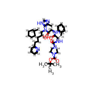 CC(C)(C)OC(=O)N1CCN(C(=O)N[C@@H](Cc2ccccc2)C(=O)N[C@@H](Cc2c[nH]cn2)C(=O)N[C@@H](CC2CCCCC2)[C@@H](O)CCCc2ccccn2)CC1